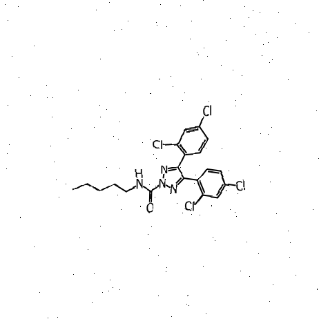 CCCCCNC(=O)n1nc(-c2ccc(Cl)cc2Cl)c(-c2ccc(Cl)cc2Cl)n1